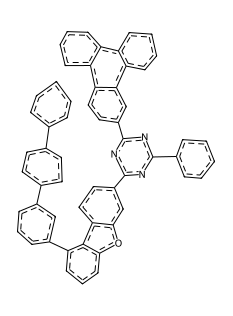 c1ccc(-c2ccc(-c3cccc(-c4cccc5oc6cc(-c7nc(-c8ccccc8)nc(-c8ccc9c%10ccccc%10c%10ccccc%10c9c8)n7)ccc6c45)c3)cc2)cc1